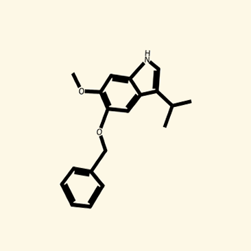 COc1cc2[nH]cc(C(C)C)c2cc1OCc1ccccc1